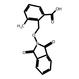 Cc1cccc(C(=O)O)c1CON1C(=O)c2ccccc2C1=O